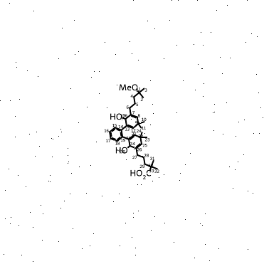 COC(C)(C)CCCC1=CC(C)(C)C=C(c2ccccc2C2=CC(C)(C)C=C(CCCC(C)(C)C(=O)O)C2O)C1O